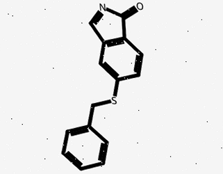 O=C1N=Cc2cc(SCc3ccccc3)ccc21